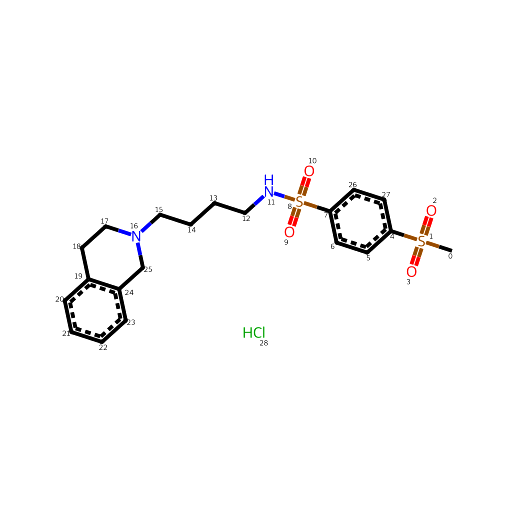 CS(=O)(=O)c1ccc(S(=O)(=O)NCCCCN2CCc3ccccc3C2)cc1.Cl